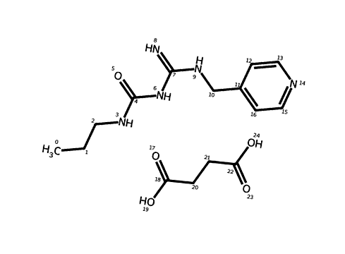 CCCNC(=O)NC(=N)NCc1ccncc1.O=C(O)CCC(=O)O